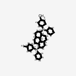 Cc1ccc(N(c2ccccc2)c2ccc3ccc4c(N(c5ccccc5)c5ccc(I)cc5)ccc5ccc2c3c54)cc1